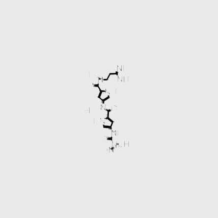 CN(CCC(=N)N)C(=O)c1cc(N(C)C(=O)c2cc(NC(=O)N(C)N=O)c[nH]2)c[nH]1